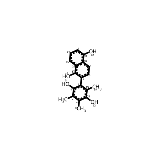 Cc1c(C)c(O)c(-c2ccc3c(O)cccc3c2O)c(C)c1O